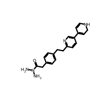 NN(N)C(=O)Cc1ccc(CCc2ccc(C3=CCNC=C3)cn2)cc1